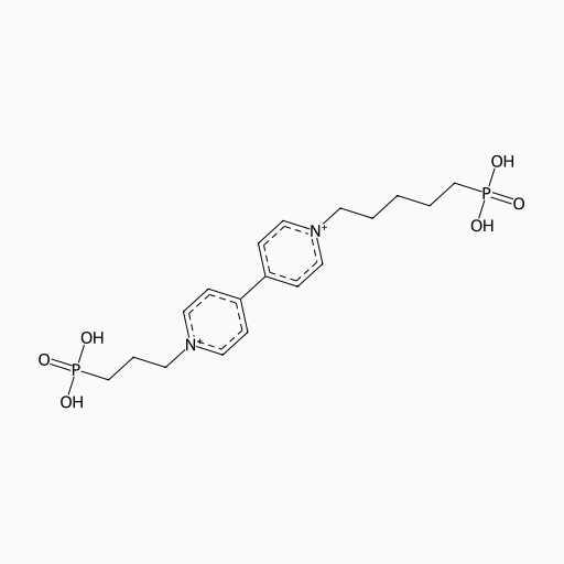 O=P(O)(O)CCCCC[n+]1ccc(-c2cc[n+](CCCP(=O)(O)O)cc2)cc1